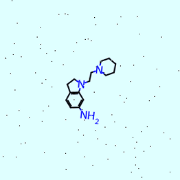 Nc1ccc2c(c1)N(CCN1CCCCC1)CC2